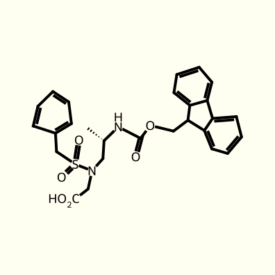 C[C@@H](CN(CC(=O)O)S(=O)(=O)Cc1ccccc1)NC(=O)OCC1c2ccccc2-c2ccccc21